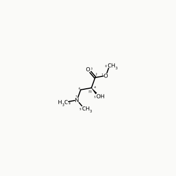 COC(=O)[C@@H](O)CN(C)C